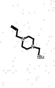 C=CCN1CCN(CC(C)(C)C)CC1